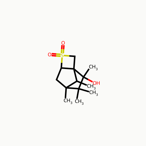 CC1C2(C)CC3C1(CS3(=O)=O)C(C)(O)C2(C)C